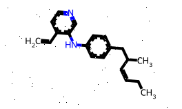 C=Cc1ccncc1Nc1ccc(CC(C)/C=C\CC)cc1